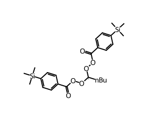 [CH2]CCC[C](OOC(=O)c1ccc([Si](C)(C)C)cc1)OOC(=O)c1ccc([Si](C)(C)C)cc1